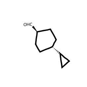 O=C[C@H]1CC[C@H](C2CC2)CC1